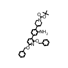 CC(C)(C)OC(=O)N1CC=C(c2ccc(-c3ccc(OCc4ccccc4)nc3OCc3ccccc3)cc2N)CC1